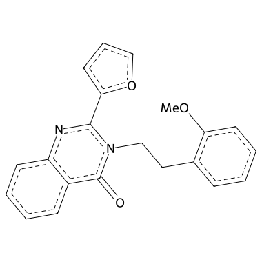 COc1ccccc1CCn1c(-c2ccco2)nc2ccccc2c1=O